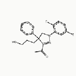 CC(=O)C1=NN(c2cc(F)ccc2F)CC1(CCCO)c1ccccc1